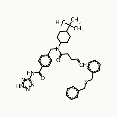 C=CCCC(=O)N(Cc1ccc(C(=O)Nc2nn[nH]n2)cc1)C1CCC(C(C)(C)C)CC1.c1ccc(CSCc2ccccc2)cc1